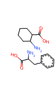 NC(Cc1ccccc1)C(=O)O.NC1CCCCC1C(=O)O